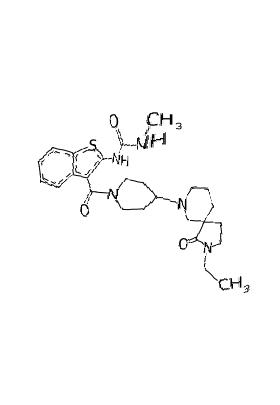 CCN1CCC2(CCCN(C3CCN(C(=O)c4c(NC(=O)NC)sc5ccccc45)CC3)C2)C1=O